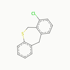 Clc1cccc2c1CSc1ccccc1C2